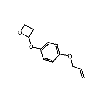 C=CCOc1ccc(OC2CCO2)cc1